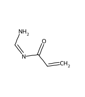 C=CC(=O)/N=C\N